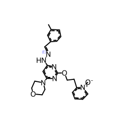 Cc1cccc(/C=N/Nc2cc(N3CCOCC3)nc(OCCc3cccc[n+]3[O-])n2)c1